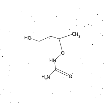 CC(CCO)ONC(N)=O